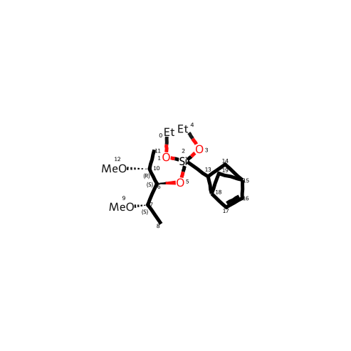 CCO[Si](OCC)(O[C@@H]([C@H](C)OC)[C@@H](C)OC)C1CC2C=CC1C2